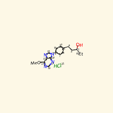 CC[C@H](O)CCc1ccc(-n2cnc3c(OC)ncnc32)cc1.Cl